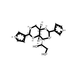 OCC(O)[C@H]1OC(c2ccsc2)O[C@H]2COC(c3ccsc3)O[C@H]21